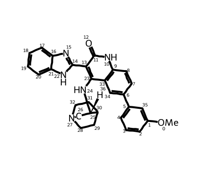 COc1cccc(-c2ccc3[nH]c(=O)c(-c4nc5ccccc5[nH]4)c(N[C@H]4CN5CCC4CC5)c3c2)c1